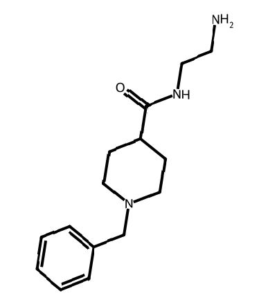 NCCNC(=O)C1CCN(Cc2ccccc2)CC1